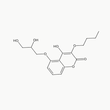 CCCCOc1c(O)c2c(OCC(O)CO)cccc2oc1=O